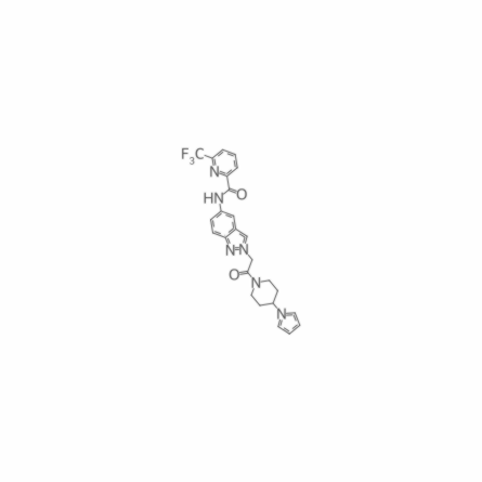 O=C(Nc1ccc2nn(CC(=O)N3CCC(n4cccc4)CC3)cc2c1)c1cccc(C(F)(F)F)n1